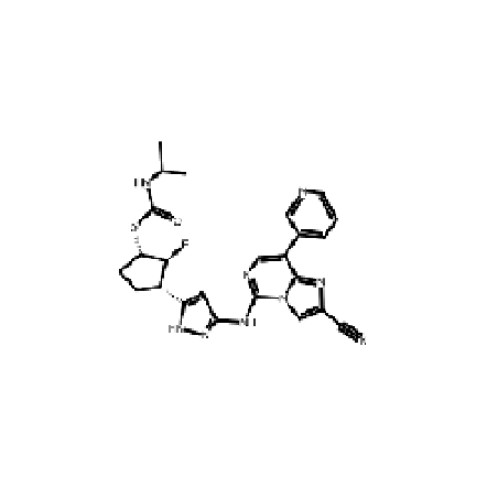 CC(C)NC(=O)O[C@H]1CC[C@@H](c2cc(Nc3ncc(-c4cccnc4)c4nc(C#N)cn34)n[nH]2)[C@@H]1F